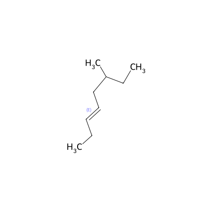 CC/C=C/CC(C)CC